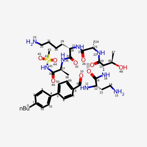 CCCCc1ccc(-c2ccc(C(=O)N[C@@H](CCN)C(=O)N[C@H](C(=O)N[C@@H](C)C(=O)N[C@@H](CCCCN)C(=O)N[C@@H](C)C(=O)NS(C)(=O)=O)[C@@H](C)O)cc2)cc1